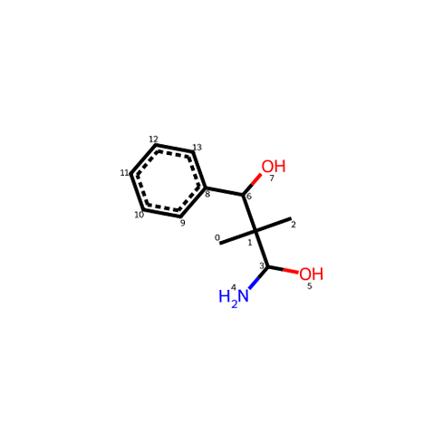 CC(C)(C(N)O)C(O)c1ccccc1